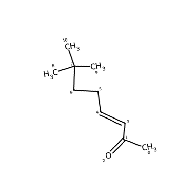 CC(=O)C=CCCC(C)(C)C